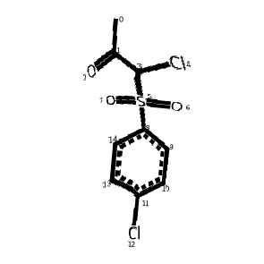 CC(=O)C(Cl)S(=O)(=O)c1ccc(Cl)cc1